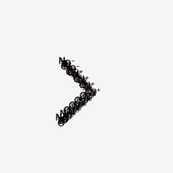 CC[N+]1(C)CCOCC1.CC[N+]1(C)CCOCC1.CC[N+]1(C)CCOCC1.CC[N+]1(C)CCOCC1.CC[N+]1(C)CCOCC1.CC[N+]1(C)CCOCC1.CC[N+]1(C)CCOCC1.CC[N+]1(C)CCOCC1.N#CB([O-])[O-].N#CB([O-])[O-].N#CB([O-])[O-].N#CB([O-])[O-]